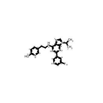 CC(C)n1cnc2c(NCCc3ccc(O)nc3)nc(-c3cncc(F)c3)nc21